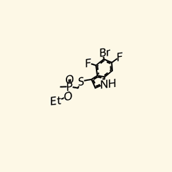 CCOP(C)(=O)CSc1c[nH]c2cc(F)c(Br)c(F)c12